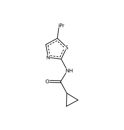 CC(C)c1cnc(NC(=O)C2CC2)s1